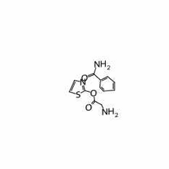 NC(=O)c1ccccc1.NCC(=O)Oc1nccs1